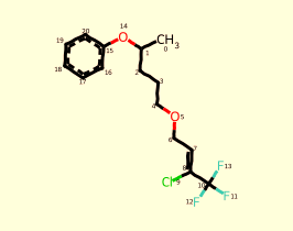 CC(CCCOCC=C(Cl)C(F)(F)F)Oc1ccccc1